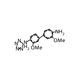 C1N=NN=N1.COc1cc(-c2ccc(N)c(OC)c2)ccc1N